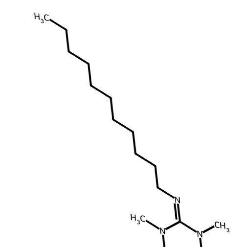 CCCCCCCCCCCN=C(N(C)C)N(C)C